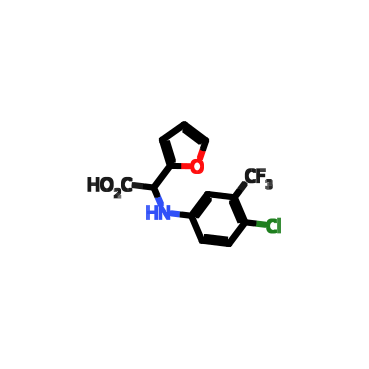 O=C(O)C(Nc1ccc(Cl)c(C(F)(F)F)c1)c1ccco1